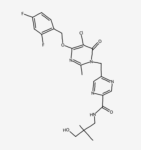 Cc1nc(OCc2ccc(F)cc2F)c(Cl)c(=O)n1Cc1cnc(C(=O)NCC(C)(C)CO)cn1